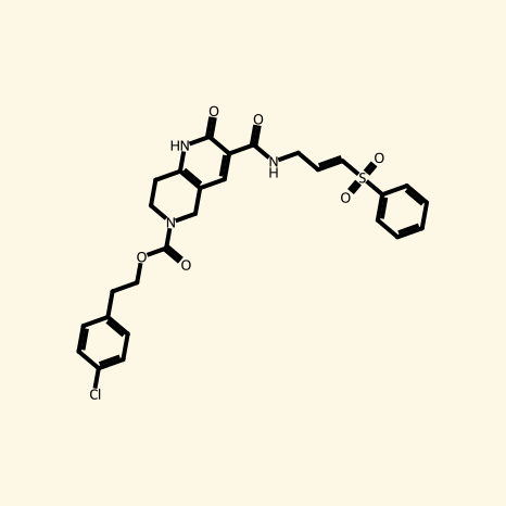 O=C(NC/C=C/S(=O)(=O)c1ccccc1)c1cc2c([nH]c1=O)CCN(C(=O)OCCc1ccc(Cl)cc1)C2